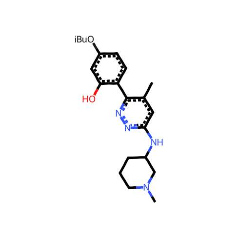 Cc1cc(NC2CCCN(C)C2)nnc1-c1ccc(OCC(C)C)cc1O